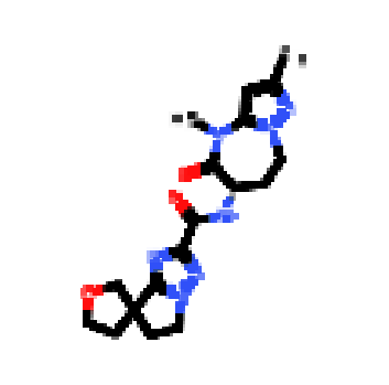 Cc1cc2n(n1)CC[C@H](NC(=O)c1nc3n(n1)CCC31CCOC1)C(=O)N2C